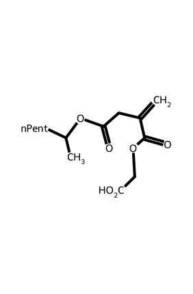 C=C(CC(=O)OC(C)CCCCC)C(=O)OCC(=O)O